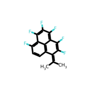 CC(C)=c1c(F)c(F)c2c(F)c(F)c(F)c3c(F)ccc1c32